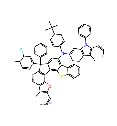 C/C=C\c1oc2c3c(ccc2c1C)C(C1=CC(F)C(C)C=C1)(c1ccccc1)c1cc(N(C2=CCC(C(C)(C)C)C=C2)C2=Cc4c(c(C)c(/C=C\C)n4-c4ccccc4)CC2)c2c(sc4ccccc42)c1-3